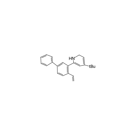 C=Cc1ccc(-c2ccccc2)cc1C1=CC(C(C)(C)C)=CCN1